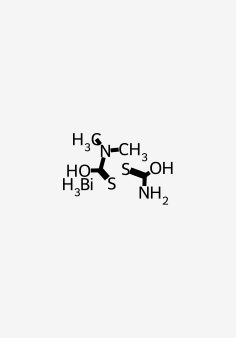 CN(C)C(O)=S.NC(O)=S.[BiH3]